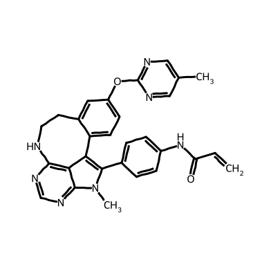 C=CC(=O)Nc1ccc(-c2c3c4c(ncnc4n2C)NCCc2cc(Oc4ncc(C)cn4)ccc2-3)cc1